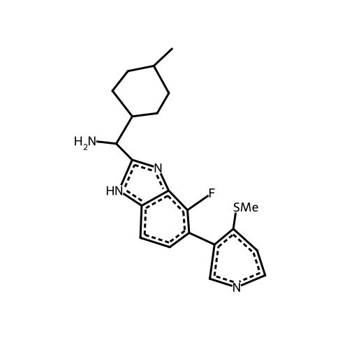 CSc1ccncc1-c1ccc2[nH]c(C(N)C3CCC(C)CC3)nc2c1F